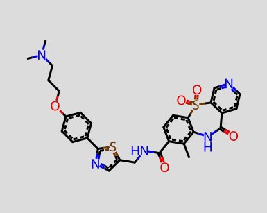 Cc1c(C(=O)NCc2cnc(-c3ccc(OCCCN(C)C)cc3)s2)ccc2c1NC(=O)c1ccncc1S2(=O)=O